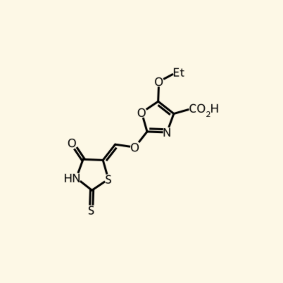 CCOc1oc(OC=C2SC(=S)NC2=O)nc1C(=O)O